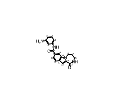 Nc1cccc(NC(=O)c2ccc3cc4n(c3c2)CCCNC4=O)c1